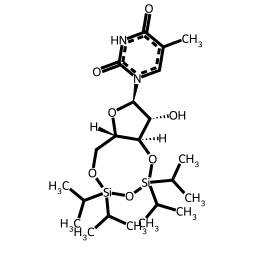 Cc1cn([C@@H]2O[C@H]3CO[Si](C(C)C)(C(C)C)O[Si](C(C)C)(C(C)C)O[C@@H]3[C@H]2O)c(=O)[nH]c1=O